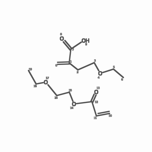 C=C(CCOCC)C(=O)O.C=CC(=O)OCCOCC